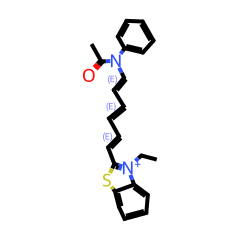 CC[n+]1c(/C=C/C=C/C=C/N(C(C)=O)c2ccccc2)sc2ccccc21